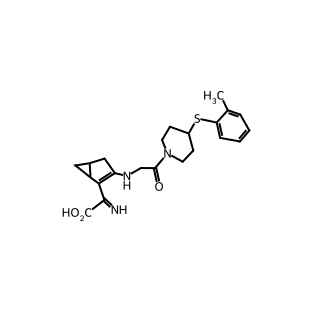 Cc1ccccc1SC1CCN(C(=O)CNC2=C(C(=N)C(=O)O)C3CC3C2)CC1